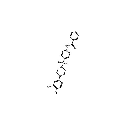 O=C(Nc1ccc(S(=O)(=O)N2CCN(c3cc(Cl)c(Cl)cn3)CC2)cc1)c1ccccc1